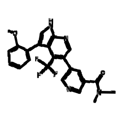 COc1ccccc1-c1c[nH]c2ncc(-c3cncc(C(=O)N(C)C)c3)c(C(F)(F)F)c12